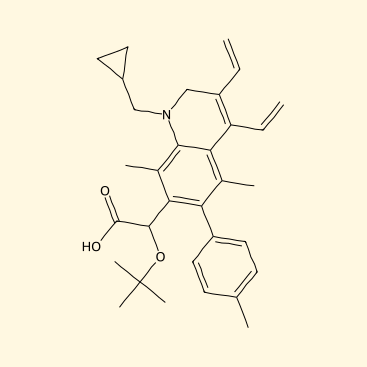 C=CC1=C(C=C)c2c(C)c(-c3ccc(C)cc3)c(C(OC(C)(C)C)C(=O)O)c(C)c2N(CC2CC2)C1